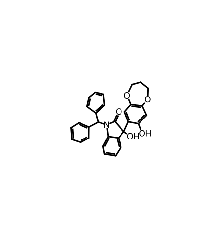 O=C1N(C(c2ccccc2)c2ccccc2)c2ccccc2C1(O)c1cc2c(cc1O)OCCCO2